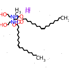 CCCCCCCC/C=C\CCCCCCCC(=O)OC(C)C(OC(=O)CCCCCCC/C=C\CCCCCCCC)C(NCCO)NCCO.I.I